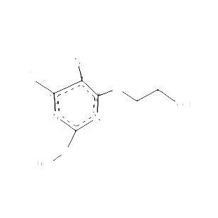 CCCSc1nc(Cl)c(N)c(OCCO)n1